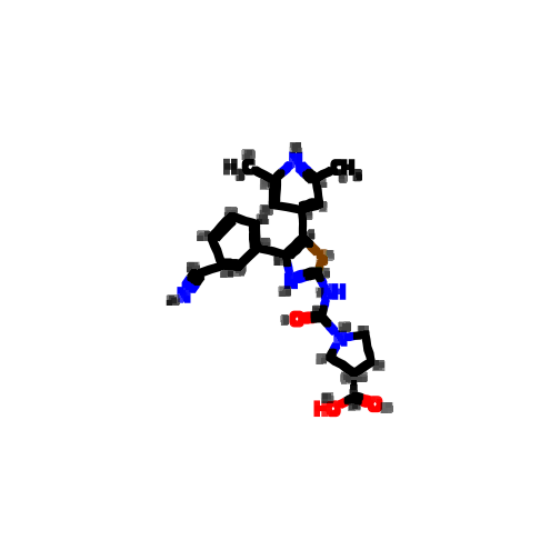 Cc1cc(-c2sc(NC(=O)N3CC[C@H](C(=O)O)C3)nc2-c2cccc(C#N)c2)cc(C)n1